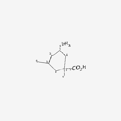 CC1CCCC(C)(C(=O)O)C1.[InH3]